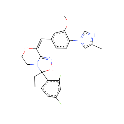 CCC1(c2ccc(F)cc2F)ON=C2/C(=C\c3ccc(-n4cnc(C)c4)c(OC)c3)OCCN21